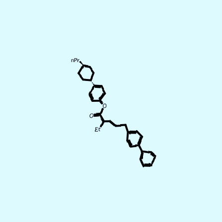 CCC[C@H]1CC[C@H](c2ccc(OC(=O)C(CC)CCCc3ccc(-c4ccccc4)cc3)cc2)CC1